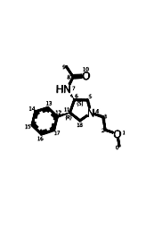 COCCN1C[C@@H](NC(C)=O)[C@H](c2ccccc2)C1